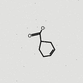 [O]C(=O)C1CC=CCC1